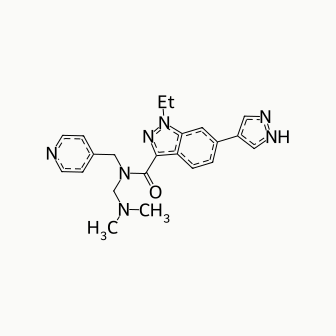 CCn1nc(C(=O)N(Cc2ccncc2)CN(C)C)c2ccc(-c3cn[nH]c3)cc21